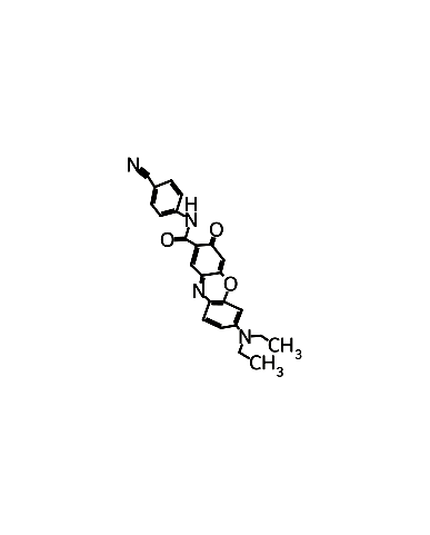 CCN(CC)c1ccc2nc3cc(C(=O)Nc4ccc(C#N)cc4)c(=O)cc-3oc2c1